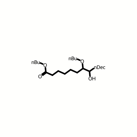 CCCCCCCCCCC(O)C(CCCCCC(=O)OCCCC)OCCCC